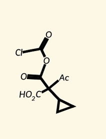 CC(=O)C(C(=O)O)(C(=O)OC(=O)Cl)C1CC1